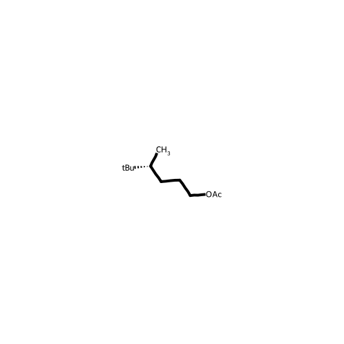 CC(=O)OCCC[C@@H](C)C(C)(C)C